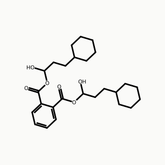 O=C(OC(O)CCC1CCCCC1)c1ccccc1C(=O)OC(O)CCC1CCCCC1